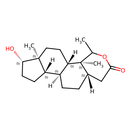 CC1OC(=O)C[C@@H]2CC[C@H]3[C@@H]4CC[C@H](O)[C@@]4(C)CC[C@@H]3[C@@]12C